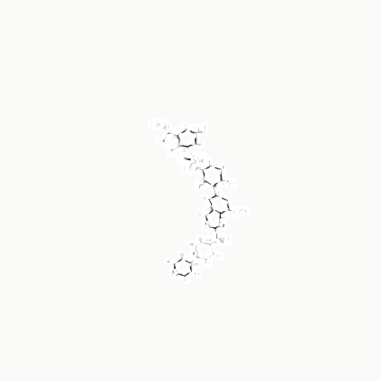 COc1cc(-c2c(F)ccc(NS(=O)(=O)c3cc(Cl)cc4c3CC[C@H]4O)c2F)cc2cnc(NC3CCN(c4ccncc4)CC3)nc12